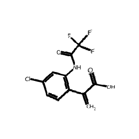 C=C(C(=O)O)c1ccc(Cl)cc1NC(=O)C(F)(F)F